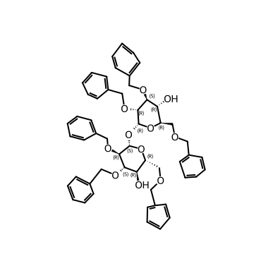 O[C@H]1[C@H](OCc2ccccc2)[C@@H](OCc2ccccc2)[C@H](O[C@H]2O[C@H](COCc3ccccc3)[C@@H](O)[C@H](OCc3ccccc3)[C@H]2OCc2ccccc2)O[C@@H]1COCc1ccccc1